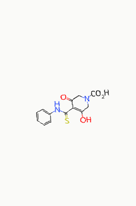 O=C1CN(C(=O)O)CC(O)=C1C(=S)Nc1ccccc1